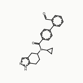 O=Cc1ccccc1-c1ccc(C(=O)N(C2CC2)C2CCc3[nH]ncc3C2)cc1